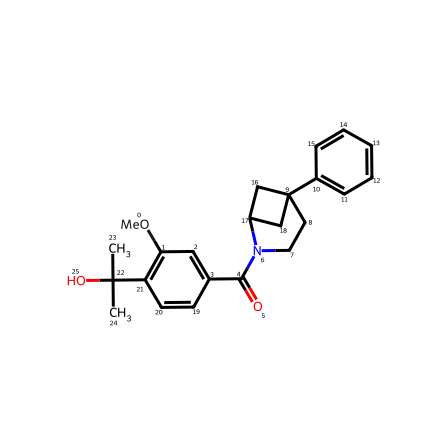 COc1cc(C(=O)N2CCC3(c4ccccc4)CC2C3)ccc1C(C)(C)O